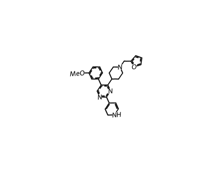 COc1cccc(-c2cnc(C3=CCNC=C3)nc2C2CCN(Cc3ccco3)CC2)c1